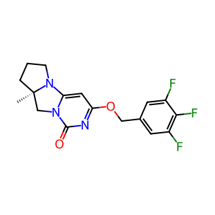 C[C@]12CCCN1c1cc(OCc3cc(F)c(F)c(F)c3)nc(=O)n1C2